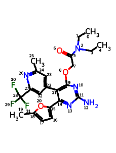 CCN(CC)C(=O)COc1nc(N)nc(-c2ccc(C)o2)c1-c1cc(C)nc(C(F)(F)F)c1